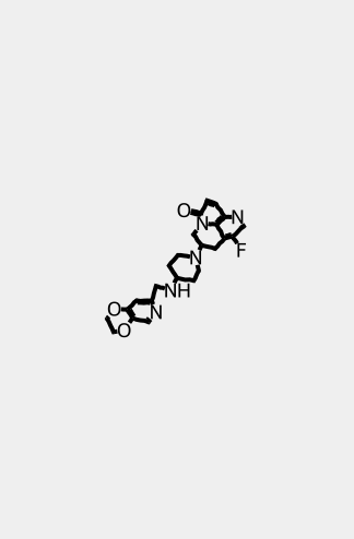 O=c1ccc2ncc(F)c3c2n1CC(N1CCC(NCc2cc4c(cn2)OCCO4)CC1)C3